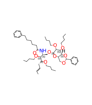 CC=CC[C@@H](OCCCC)[C@@H](OCCCC)[C@H](CO[C@H]1OC2COC(c3ccccc3)O[C@@H]2[C@H](OCCCC)C1OCCCC)NC(=O)CCCCCc1ccccc1